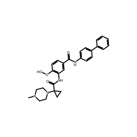 CN1CCN(C2(C(=O)Nc3cc(C(=O)Nc4ccc(-c5ccccc5)cc4)ccc3OO)CC2)CC1